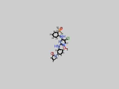 COc1ccc(N2CC=CC2=O)cc1Nc1ncc(Cl)c(Nc2ccccc2P(C)(C)=O)n1